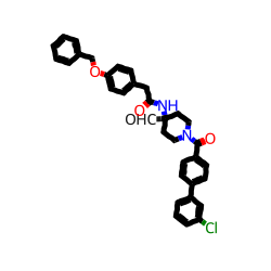 O=CC1(NC(=O)Cc2ccc(OCc3ccccc3)cc2)CCN(C(=O)c2ccc(-c3cccc(Cl)c3)cc2)CC1